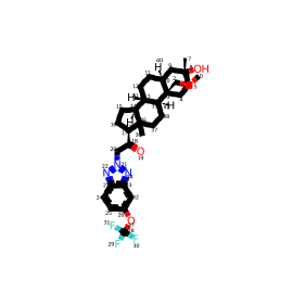 COC[C@]12CC[C@@](C)(O)C[C@@H]1CC[C@H]1[C@@H]3CC[C@H](C(=O)Cn4nc5ccc(OC(F)(F)F)cc5n4)C3(C)CC[C@@H]12